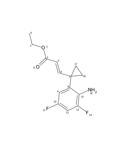 CCOC(=O)/C=C/C1(c2cc(F)cc(F)c2N)CC1